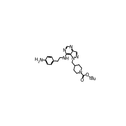 CC(C)(C)OC(=O)N1CCC(Cn2ncc3ncnc(NCCc4ccc(N)cc4)c32)CC1